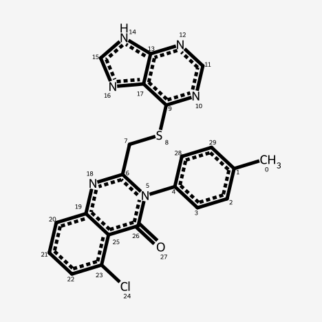 Cc1ccc(-n2c(CSc3ncnc4[nH]cnc34)nc3cccc(Cl)c3c2=O)cc1